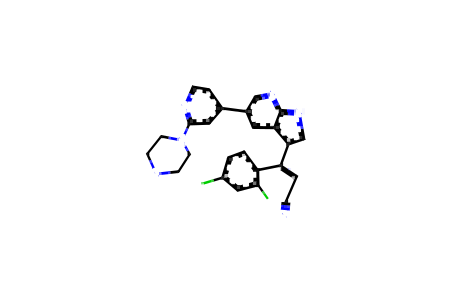 N#C/C=C(\c1ccc(Cl)cc1Cl)c1c[nH]c2ncc(-c3ccnc(N4CCNCC4)c3)cc12